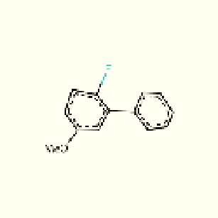 COc1ccc(F)c(-c2ccccc2)c1